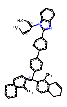 C=c1/c(=C(/c2ccc(-c3ccc(-c4nc5ccccc5n4C(/C=C\C)=C/C)cc3)cc2)c2ccc3c(c2C)C=CCC3)ccc2ccccc12